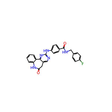 O=C1Cc2cnc(Nc3ccc(C(=O)NCc4ccc(F)cc4)cc3)nc2-c2ccccc2N1